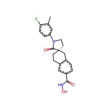 Cc1cc(N2CC[C@]3(CCc4cc(C(=O)NO)ccc4C3)C2=O)ccc1F